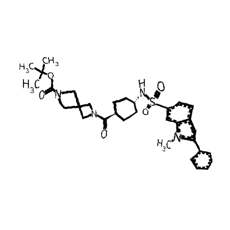 Cn1c(-c2ccccc2)cc2ccc(S(=O)(=O)N[C@H]3CC[C@H](C(=O)N4CC5(CN(C(=O)OC(C)(C)C)C5)C4)CC3)cc21